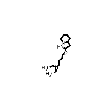 CCN(CC)CCCCOC1CC2CCCCN2N1